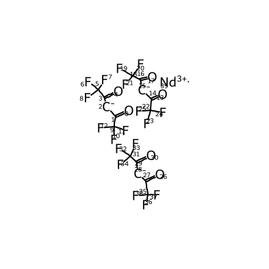 O=C([CH-]C(=O)C(F)(F)F)C(F)(F)F.O=C([CH-]C(=O)C(F)(F)F)C(F)(F)F.O=C([CH-]C(=O)C(F)(F)F)C(F)(F)F.[Nd+3]